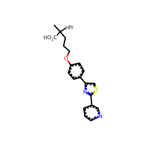 CCCC(C)(CCCOc1ccc(-c2csc(-c3cccnc3)n2)cc1)C(=O)O